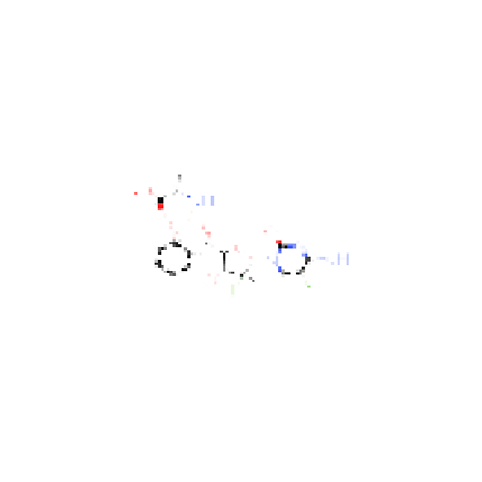 CC(C)OC(=O)C(C)N[P@](OCC1OC(n2cc(F)c(N)nc2=O)C(C)(F)[C@H]1O)Oc1ccccc1